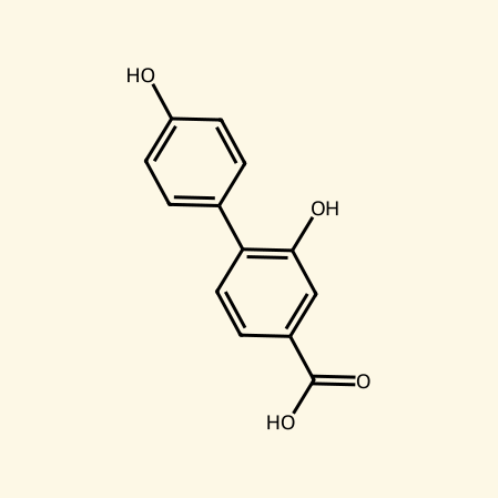 O=C(O)c1ccc(-c2ccc(O)cc2)c(O)c1